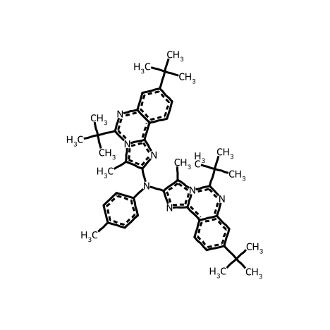 Cc1ccc(N(c2nc3c4ccc(C(C)(C)C)cc4nc(C(C)(C)C)n3c2C)c2nc3c4ccc(C(C)(C)C)cc4nc(C(C)(C)C)n3c2C)cc1